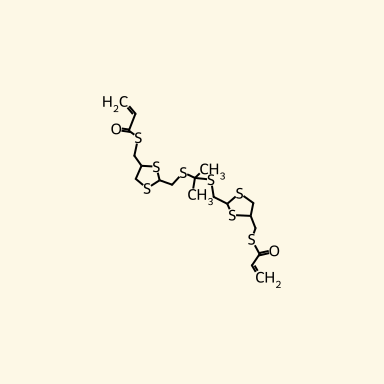 C=CC(=O)SCC1CSC(CSC(C)(C)SCC2SCC(CSC(=O)C=C)S2)S1